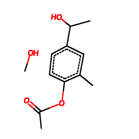 CC(=O)Oc1ccc(C(C)O)cc1C.CO